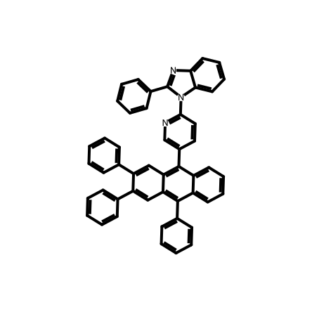 c1ccc(-c2cc3c(-c4ccccc4)c4ccccc4c(-c4ccc(-n5c(-c6ccccc6)nc6ccccc65)nc4)c3cc2-c2ccccc2)cc1